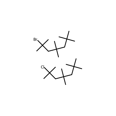 CC(C)(C)CC(C)(C)CC(C)(C)Br.CC(C)(C)CC(C)(C)CC(C)(C)Cl